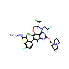 C=C(Cl)[C@H]1COc2c(Cl)c(-c3ccc(F)c4sc(NC(=O)O)c(C#N)c34)c(F)c3nc(OC[C@@]45CCCN4C[C@H](F)C5)nc(c23)N1CC(F)F